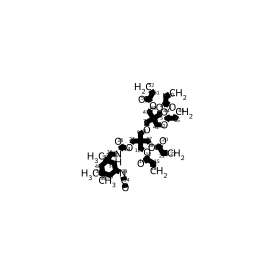 C=CC(=O)OCC(COCC(COC(=O)C=C)(COC(=O)C=C)COC(=O)NCC1(C)CC(N=C=O)CC(C)(C)C1)(COC(=O)C=C)COC(=O)C=C